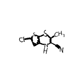 CC1=C(C#N)Nc2cc(Cl)sc2S1